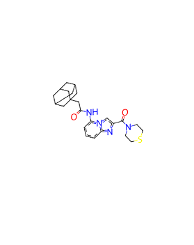 O=C(CC12CC3CC(CC(C3)C1)C2)Nc1cccc2nc(C(=O)N3CCSCC3)cn12